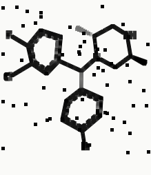 C[C@@H]1CN[C@@H](C)CN1C(c1ccc(Br)cc1)c1ccc(F)c(Cl)c1